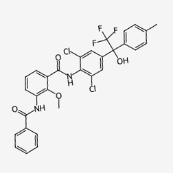 COc1c(NC(=O)c2ccccc2)cccc1C(=O)Nc1c(Cl)cc(C(O)(c2ccc(C)cc2)C(F)(F)F)cc1Cl